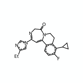 CCc1cn(C2=NCC(=O)N3CCc4c(ccc(F)c4C4CC4)C3=C2)cn1